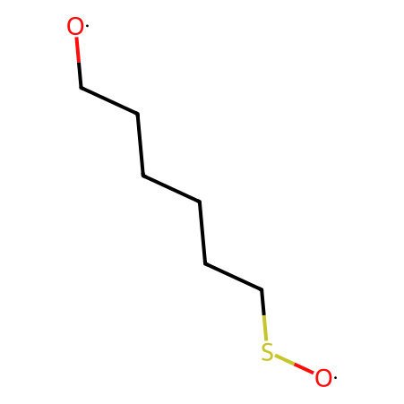 [O]CCCCCCS[O]